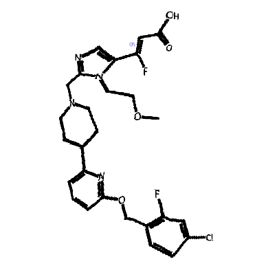 COCCn1c(/C(F)=C/C(=O)O)cnc1CN1CCC(c2cccc(OCc3ccc(Cl)cc3F)n2)CC1